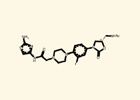 CC(=O)NC[C@H]1CN(c2ccc(N3CCN(CC(=O)Nc4csc(N)n4)CC3)c(F)c2)C(=O)O1